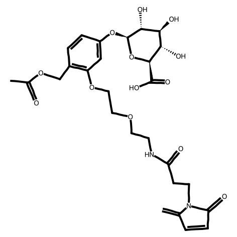 C=C1C=CC(=O)N1CCC(=O)NCCOCCOc1cc(O[C@@H]2O[C@H](C(=O)O)[C@@H](O)[C@H](O)[C@H]2O)ccc1COC(C)=O